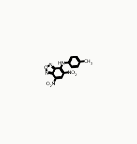 Cc1ccc(Nc2c([N+](=O)[O-])cc([N+](=O)[O-])c3nonc23)cc1